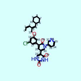 C/C=C\C(=C/C1CCCCC1)COc1cc(Cl)cc(-c2cc(-c3c[nH]c(=O)[nH]c3=O)cn(-c3cccnc3)c2=O)c1